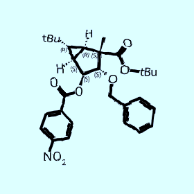 CC(C)(C)OC(=O)[C@@]1(C)[C@H]2[C@@H]([C@H](OC(=O)c3ccc([N+](=O)[O-])cc3)[C@H]1OCc1ccccc1)[C@@H]2C(C)(C)C